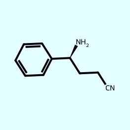 N#CCC[C@H](N)c1ccccc1